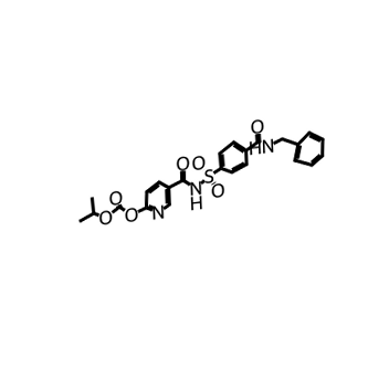 CC(C)OC(=O)Oc1ccc(C(=O)NS(=O)(=O)c2ccc(C(=O)NCc3ccccc3)cc2)cn1